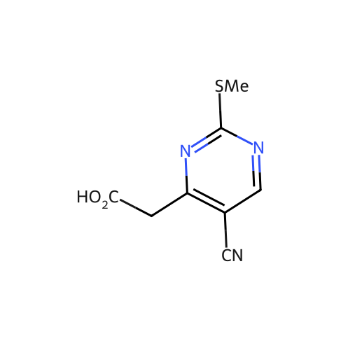 CSc1ncc(C#N)c(CC(=O)O)n1